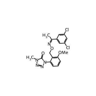 COc1cccc(-n2nnn(C)c2=O)c1CON=C(C)c1cc(Cl)cc(Cl)c1